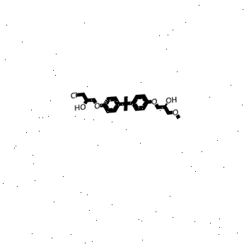 COC[C@H](O)COc1ccc(C(C)(C)c2ccc(OCC(O)CCl)cc2)cc1